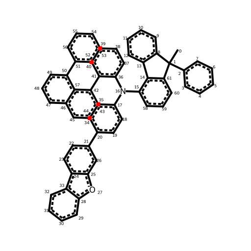 CC1(c2ccccc2)c2ccccc2-c2c(N(c3ccc(-c4ccc5c(c4)oc4ccccc45)cc3)c3ccccc3-c3cccc4cccc(-c5ccccc5)c34)cccc21